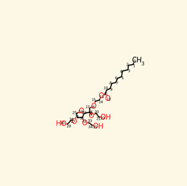 CCCCCCCCCCCC(=O)OCCOCC(OCCO)C1OC[C@@H](OCCO)[C@@H]1OCCO